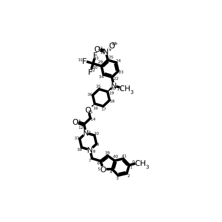 Cc1ccc2oc(CN3CCN(C(=O)CO[C@H]4CC[C@H](N(C)c5ccc([N+](=O)[O-])c(C(F)(F)F)c5)CC4)CC3)cc2c1